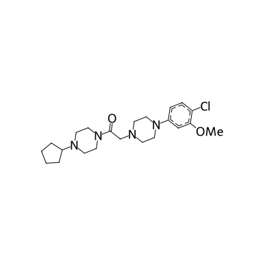 COc1cc(N2CCN(CC(=O)N3CCN(C4CCCC4)CC3)CC2)ccc1Cl